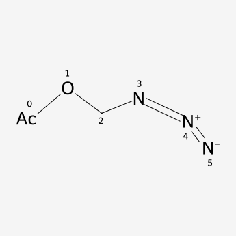 CC(=O)OCN=[N+]=[N-]